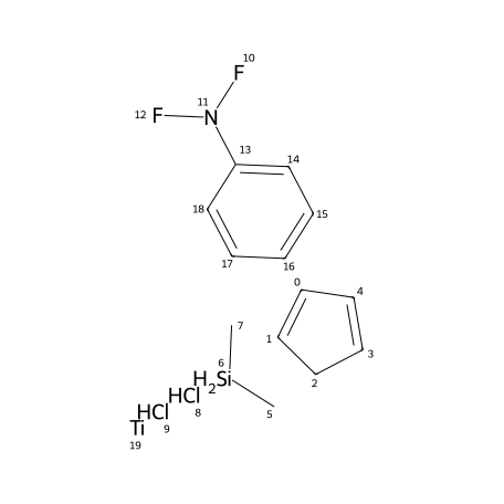 C1=CCC=C1.C[SiH2]C.Cl.Cl.FN(F)c1ccccc1.[Ti]